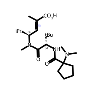 C/C(=C\[C@H](C(C)C)N(C)C(=O)[C@@H](NC(=O)C1(N(C)C)CCCC1)C(C)(C)C)C(=O)O